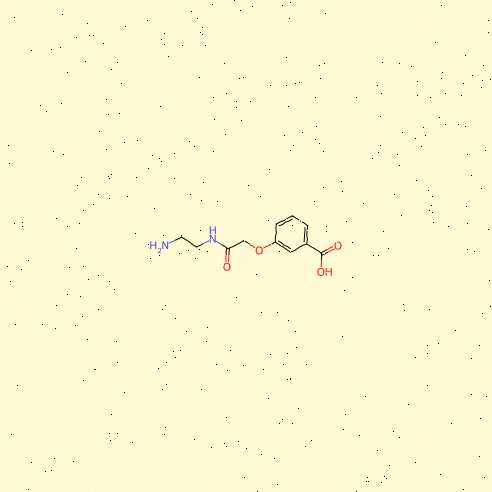 NCCNC(=O)COc1cccc(C(=O)O)c1